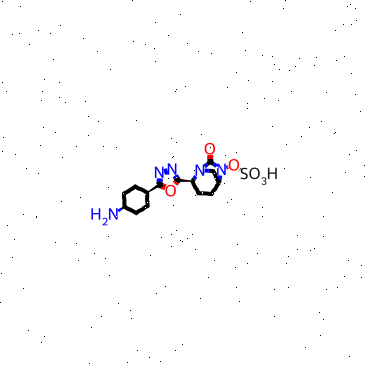 N[C@H]1CC[C@@H](c2nnc([C@@H]3CCC4CN3C(=O)N4OS(=O)(=O)O)o2)CC1